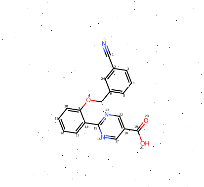 N#Cc1cccc(COc2ccccc2-c2ncc(C(=O)O)cn2)c1